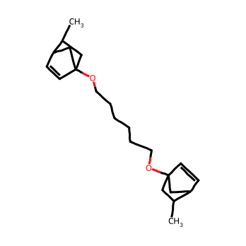 CC1CC2(OCCCCCCOC34C=CC(C3)C(C)C4)C=CC1C2